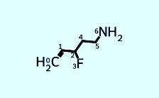 C=CC(F)CCN